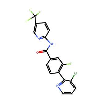 O=C(Nc1ccc(C(F)(F)F)cn1)c1ccc(-c2ncccc2Cl)c(F)c1